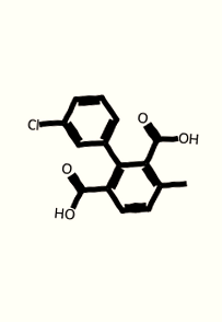 Cc1ccc(C(=O)O)c(-c2cccc(Cl)c2)c1C(=O)O